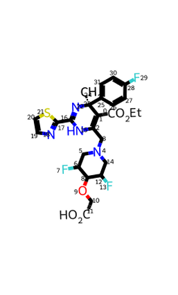 CCOC(=O)C1=C(CN2CC(F)C(OCC(=O)O)C(F)C2)NC(c2nccs2)=N[C@@]1(C)c1ccc(F)cc1